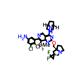 COc1c(-c2cc(N)cc(Cl)c2C(F)(F)F)ncc2c(N3C[C@H]4CC[C@@H](C3)N4)nc(OC[C@@]34CCCN3C[C@@]3(CC3(F)F)C4)nc12